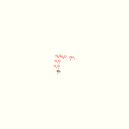 O.O.O.O.O.[Rb]